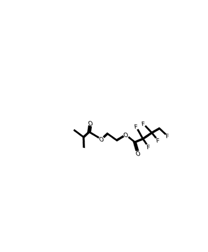 CC(C)C(=O)OCCOC(=O)C(F)(F)C(F)(F)CF